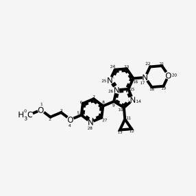 COCCOc1ccc(-c2c(C3CC3)nc3c(N4CCOCC4)ccnn23)cn1